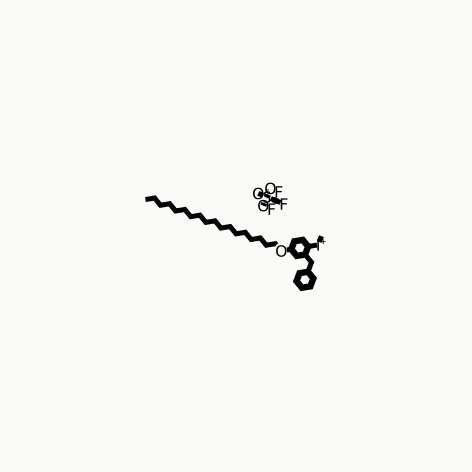 CCCCCCCCCCCCCCCCCCOc1ccc([I+]C)c(Cc2ccccc2)c1.O=S(=O)([O-])C(F)(F)F